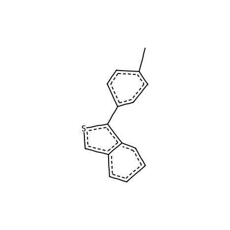 Cc1ccc(-c2scc3ccccc23)cc1